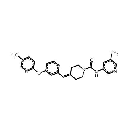 Cc1cncc(NC(=O)N2CCC(=Cc3cccc(Oc4ccc(C(F)(F)F)cn4)c3)CC2)c1